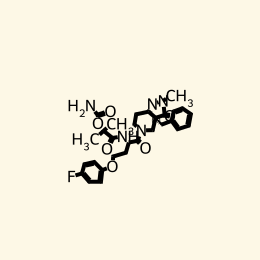 CN1N=C2CCN(C(=O)C(CCOc3ccc(F)cc3)NC(=O)C(C)(C)OC(N)=O)C[C@@]2(Cc2ccccc2)C1=O